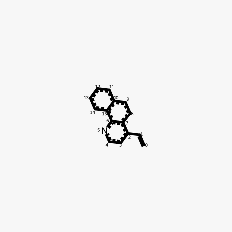 C=Cc1ccnc2c1ccc1ccccc12